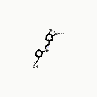 CCCCCc1cc(/C=C/Nc2cccc(OSO)c2)ccc1N